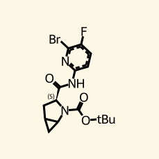 CC(C)(C)OC(=O)N1C2CC2C[C@H]1C(=O)Nc1ccc(F)c(Br)n1